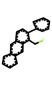 FCc1c(-c2ccccc2)ccc2cc3ccccc3cc12